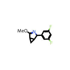 COC1=NC(c2cc(F)cc(F)c2)C2CC12